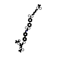 C=C(C)C(=O)OCCCCCCOC(=O)[C@H]1CC[C@H](C2CCC(OC(=O)/C=C/c3ccc(-c4ccc(OCCC(C)(COC(=O)C(=C)C)COC(=O)C(=C)C)cc4)cc3)CC2)CC1